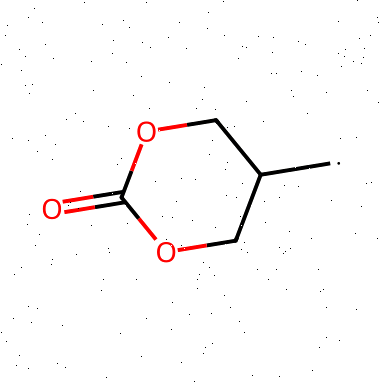 [CH2]C1COC(=O)OC1